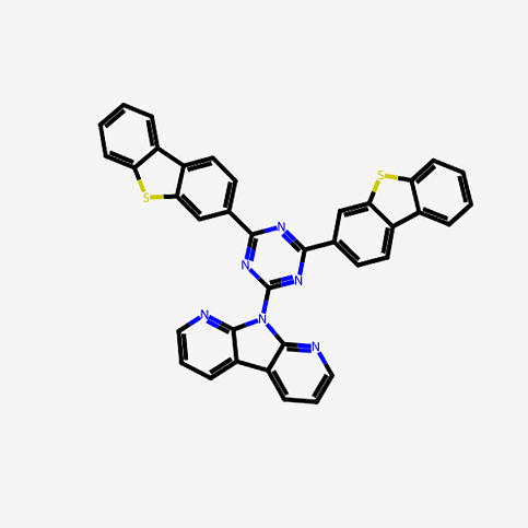 c1ccc2c(c1)sc1cc(-c3nc(-c4ccc5c(c4)sc4ccccc45)nc(-n4c5ncccc5c5cccnc54)n3)ccc12